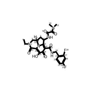 CCN1C[C@@H]2CC(NC(=O)C(=O)N(C)C)c3c(C(=O)NCc4ccc(F)cc4F)c(=O)c(O)c(n32)C1=O